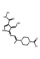 CCC\C=C1/C(C(=O)NC(C)C)=CN/C1=N/C=C(\C)N1CCN(C(=O)CC)CC1